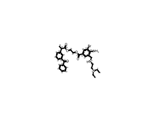 CCN(CC)CCNCc1cc(C(=O)OCCOC(=O)C(C)c2cccc(C(=O)c3ccccc3)c2)cc(Br)c1N